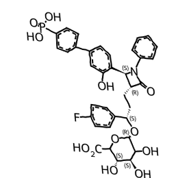 O=C(O)C1O[C@@H](O[C@@H](CC[C@H]2C(=O)N(c3ccccc3)[C@@H]2c2ccc(-c3ccc(P(=O)(O)O)cc3)cc2O)c2ccc(F)cc2)C(O)[C@@H](O)[C@@H]1O